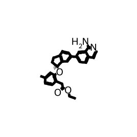 CCOC(=O)Cc1ccc(C)cc1O[C@@H]1CCc2ccc(-c3ccc4ccnc(N)c4c3)cc21